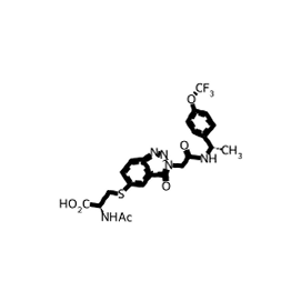 CC(=O)N[C@@H](CSc1ccc2nnn(CC(=O)N[C@@H](C)c3ccc(OC(F)(F)F)cc3)c(=O)c2c1)C(=O)O